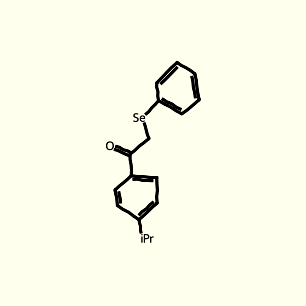 CC(C)c1ccc(C(=O)C[Se]c2ccccc2)cc1